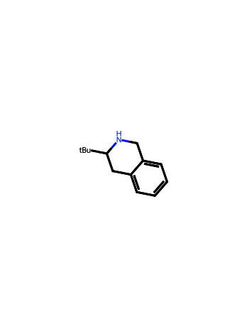 CC(C)(C)C1Cc2ccccc2CN1